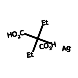 CCC(CC)(C(=O)O)C(=O)O.[Ag]